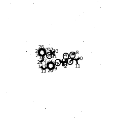 C=C(C)C(=O)OC(OC)C(C)C.C=Cc1ccc(O)cc1.C=Cc1ccccc1OC(C)(C)C